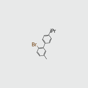 Cc1ccc(Br)c(-c2ccc(C(C)C)cc2)c1